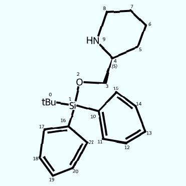 CC(C)(C)[Si](OC[C@@H]1CCCCN1)(c1ccccc1)c1ccccc1